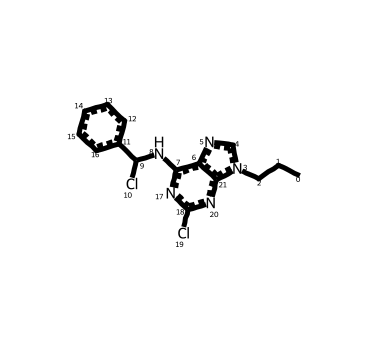 CCCn1cnc2c(NC(Cl)c3ccccc3)nc(Cl)nc21